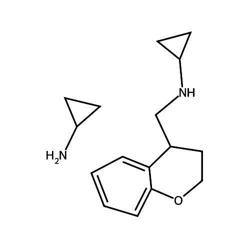 NC1CC1.c1ccc2c(c1)OCCC2CNC1CC1